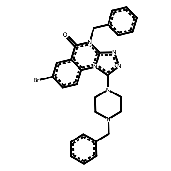 O=c1c2cc(Br)ccc2n2c(N3CCN(Cc4ccccc4)CC3)nnc2n1Cc1ccccc1